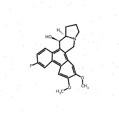 COc1cc2c3c(c4ccc(F)cc4c2cc1OC)[C@@H](O)[C@H]1CCCN1C3